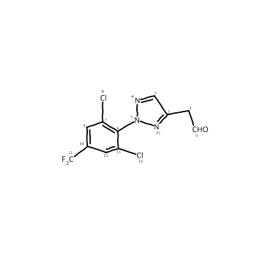 O=CCc1cnn(-c2c(Cl)cc(C(F)(F)F)cc2Cl)n1